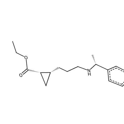 CCOC(=O)[C@H]1C[C@H]1CCCN[C@H](C)c1ccccc1